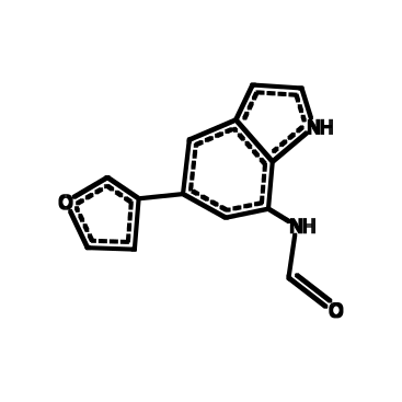 O=CNc1cc(-c2ccoc2)cc2cc[nH]c12